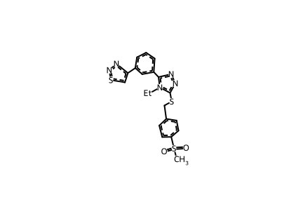 CCn1c(SCc2ccc(S(C)(=O)=O)cc2)nnc1-c1cccc(-c2csnn2)c1